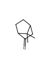 CC1(C)C2[CH]C(=O)C1CC2